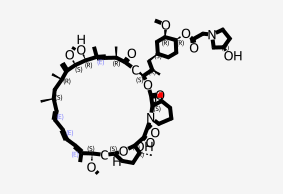 C=C1[C@H](C)C[C@H](C)/C=C/C=C/C=C(\C)[C@@H](OC)C[C@@H]2CC[C@@H](C)[C@@](O)(O2)C(=O)C(=O)N2CCCC[C@H]2C(=O)O[C@H]([C@H](C)C[C@@H]2CC[C@@H](OC(=O)CN3CC[C@@H](O)C3)[C@H](OC)C2)CC(=O)[C@H](C)/C=C(\C)[C@@H](O)[C@H]1OC